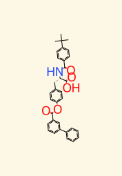 CC(C)(C)c1ccc(C(=O)N[C@@H](Cc2ccc(OC(=O)c3cccc(-c4ccccc4)c3)cc2)C(=O)O)cc1